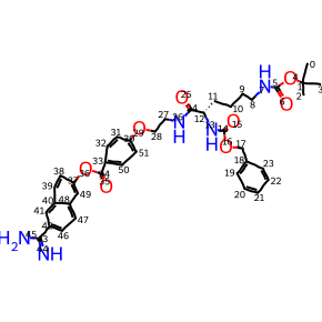 CC(C)(C)OC(=O)NCCCC[C@H](NC(=O)OCc1ccccc1)C(=O)NCCOc1ccc(C(=O)Oc2ccc3cc(C(=N)N)ccc3c2)cc1